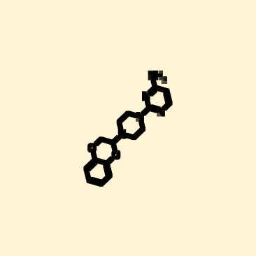 Nc1ccnc(N2CCN(C3COc4ccccc4O3)CC2)n1